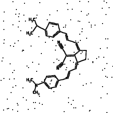 CC(C)c1ccc(C=CC=C2CCC(=CC=Cc3ccc(N(C)C)cc3)C2=C(C#N)C#N)cc1